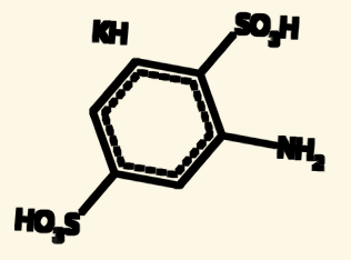 Nc1cc(S(=O)(=O)O)ccc1S(=O)(=O)O.[KH]